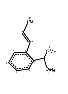 COC(OC)c1ccccc1C=CC#N